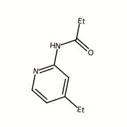 CCC(=O)Nc1cc(CC)ccn1